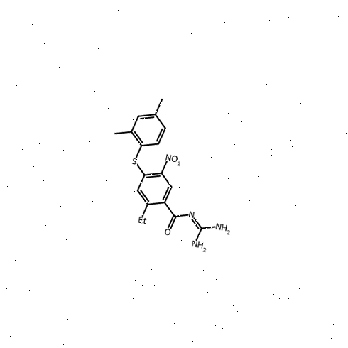 CCc1cc(Sc2ccc(C)cc2C)c([N+](=O)[O-])cc1C(=O)N=C(N)N